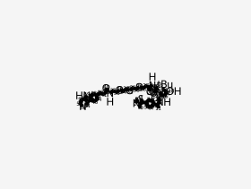 Cc1ncsc1-c1ccc(C(C)NC(=O)[C@@H]2C[C@@H](O)CN2C(=O)C(NC(=O)CCOCCOCCOCCNC(=O)CCc2ccc3c(c2)[nH]c2ccncc23)C(C)(C)C)cc1